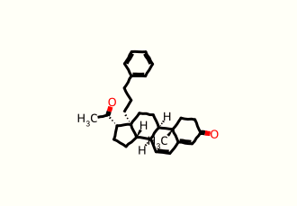 CC(=O)[C@H]1CC[C@H]2[C@@H]3C=CC4=CC(=O)CC[C@@]4(C)[C@@H]3CC[C@]12CCCc1ccccc1